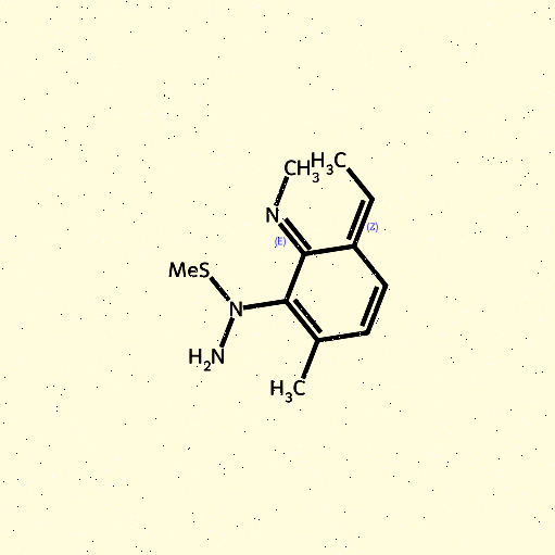 C/C=C1/C=CC(C)=C(N(N)SC)/C1=N/C